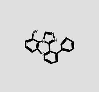 CC(C)c1cccc(C(C)C)c1-n1cnnc1-c1ccccc1-c1ccccc1